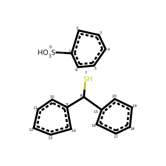 O=S(=O)(O)c1ccccc1.SC(c1ccccc1)c1ccccc1